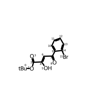 CC(C)(C)OC(=O)/C(O)=C/C(=O)c1ccccc1Br